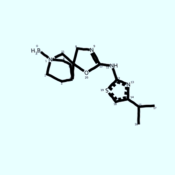 B[N+]12CCC(CC1)C1(CN=C(Nc3nc(C(C)C)cs3)O1)C2